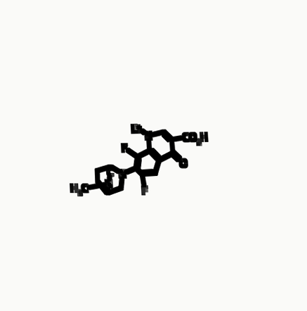 CCn1cc(C(=O)O)c(=O)c2cc(F)c(N3CC4CCC3CN4C)c(F)c21